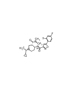 C[C@H](C1CC1)N1CC[C@H](NC(=O)c2cc(-c3ccc(F)cc3F)on2)[C@@H](C(=O)N(C)C)C1